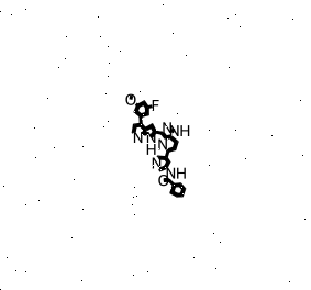 COc1cc(F)cc(-c2ccnc3[nH]c(-c4n[nH]c5ccc(-c6cncc(NC(=O)c7ccccc7)c6)nc45)cc23)c1